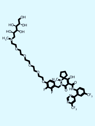 CN(CCOCCOCCOCCOCCOc1ccc(CN2C(=O)C(C(=O)Nc3ccc(C(F)(F)F)cc3-c3cc(C(F)(F)F)ncn3)=C(O)C3(CCCC3)N2C)c(F)c1F)C[C@@H](O)[C@H](O)[C@@H](O)[C@@H](O)CO